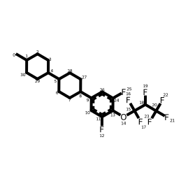 CC1CCC(C2CCC(c3cc(F)c(OC(F)(F)C(F)C(F)(F)F)c(F)c3)CC2)CC1